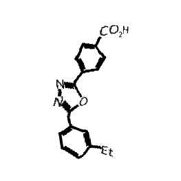 CCc1cccc(-c2nnc(-c3ccc(C(=O)O)cc3)o2)c1